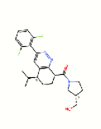 CC(C)[C@@H]1CCC(C(=O)N2CC[C@H](CO)C2)c2nnc(-c3c(F)cccc3F)cc21